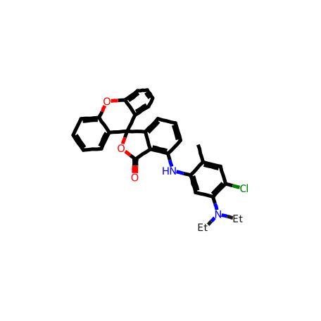 CCN(CC)c1cc(Nc2cccc3c2C(=O)OC32c3ccccc3Oc3ccccc32)c(C)cc1Cl